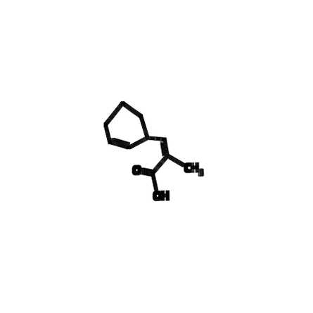 CC(=CC1C=CCCC1)C(=O)O